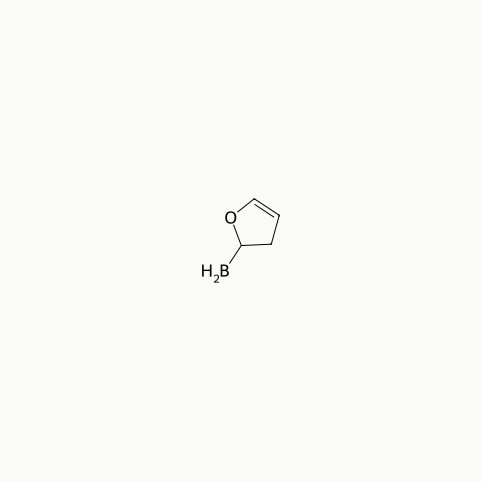 BC1CC=CO1